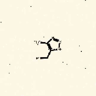 CC(C)Cc1[nH]nnc1C(Cl)(Cl)Cl